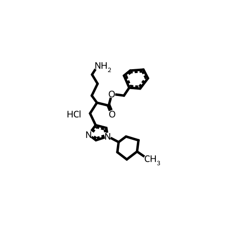 CC1CCC(n2cnc(CC(CCCN)C(=O)OCc3ccccc3)c2)CC1.Cl